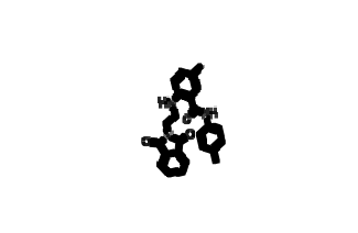 Cc1ccc(NC(=O)c2cc(C)ccc2NCCN2C(=O)c3ccccc3C2=O)cc1